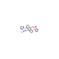 CN(Cc1ccccc1BOI)Cc1c2ccccc2c(CN(C)Cc2ccccc2B(O)O)c2ccccc12